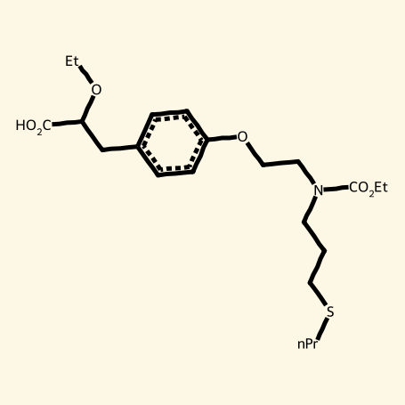 CCCSCCCN(CCOc1ccc(CC(OCC)C(=O)O)cc1)C(=O)OCC